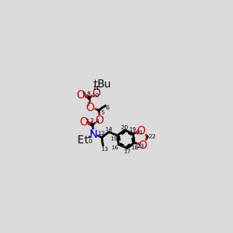 CCN(C(=O)OC(C)OC(=O)OC(C)(C)C)C(C)Cc1ccc2c(c1)OCO2